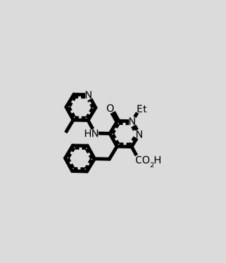 CCn1nc(C(=O)O)c(Cc2ccccc2)c(Nc2cnccc2C)c1=O